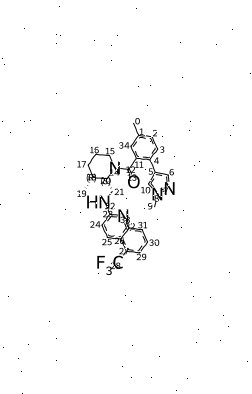 Cc1ccc(-c2cnn(C)c2)c(C(=O)N2CCC[C@@H](C)[C@H]2CNc2ccc3c(C(F)(F)F)cccc3n2)c1